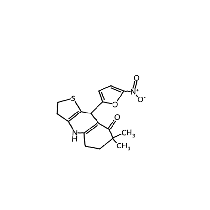 CC1(C)CCC2=C(C1=O)C(c1ccc([N+](=O)[O-])o1)C1=C(CCS1)N2